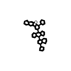 c1ccc(-c2ccc(-c3c4ccccc4c(-c4cc(-c5ccccc5)c5oc6cc7ccccc7cc6c5c4)c4ccccc34)c3ccccc23)cc1